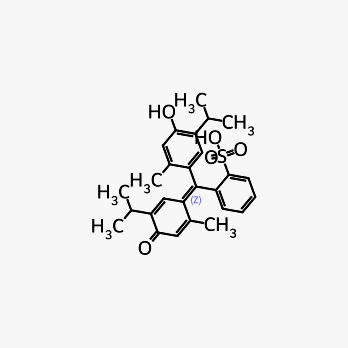 CC1=CC(=O)C(C(C)C)=C/C1=C(\c1cc(C(C)C)c(O)cc1C)c1ccccc1S(=O)(=O)O